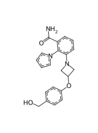 NC(=O)c1cccc(N2CC(Oc3ccc(CO)cc3)C2)c1-n1cccc1